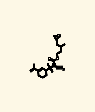 C=C(C)C1=CC(C(C)(C)N(N)C(=O)OCCC(C)CC2CO2)=CCC1